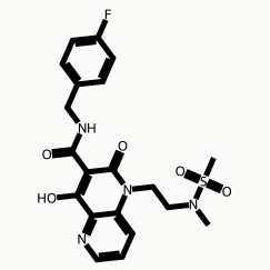 CN(CCn1c(=O)c(C(=O)NCc2ccc(F)cc2)c(O)c2ncccc21)S(C)(=O)=O